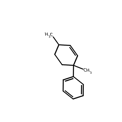 CC1C=CC(C)(c2ccccc2)CC1